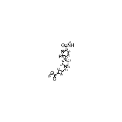 CNC(=O)c1ccc(N2CCN(CC3CC(C(=O)OC)C3)CC2)c(F)n1